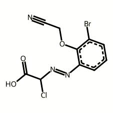 N#CCOc1c(Br)cccc1N=NC(Cl)C(=O)O